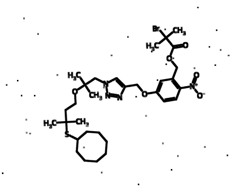 CC(C)(Cn1cc(COc2ccc([N+](=O)[O-])c(COC(=O)C(C)(C)Br)c2)nn1)OCCC(C)(C)SC1CCCCCCC1